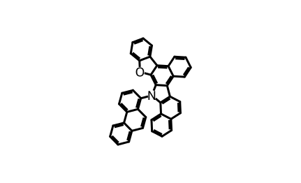 c1ccc2c(c1)ccc1c(-n3c4c5ccccc5ccc4c4c5ccccc5c5c6ccccc6oc5c43)cccc12